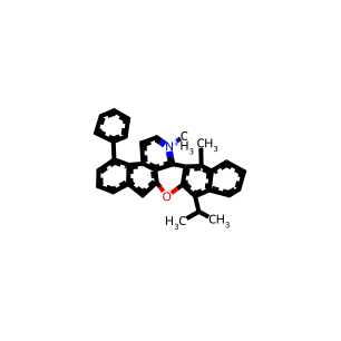 Cc1c2c(c(C(C)C)c3ccccc13)Oc1cc3cccc(-c4ccccc4)c3c3cc[n+](C)c-2c13